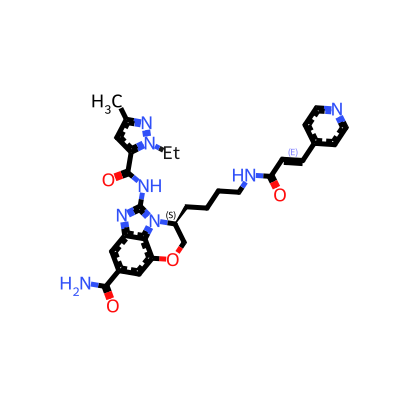 CCn1nc(C)cc1C(=O)Nc1nc2cc(C(N)=O)cc3c2n1[C@@H](CCCCNC(=O)/C=C/c1ccncc1)CO3